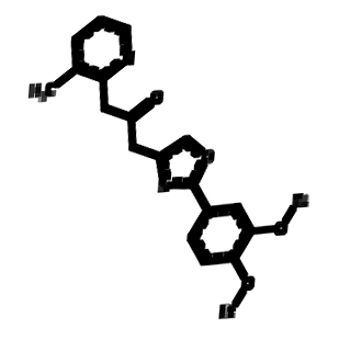 CCOc1ccc(-c2nc(CC(=O)Cc3ncccc3C)co2)cc1OCC